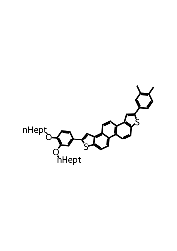 CCCCCCCOc1ccc(-c2cc3c(ccc4c3ccc3c5cc(-c6ccc(C)c(C)c6)sc5ccc34)s2)cc1OCCCCCCC